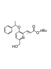 CCCCOC(=O)/C=C/c1nc(CO)ccc1OC(C)c1ccccc1